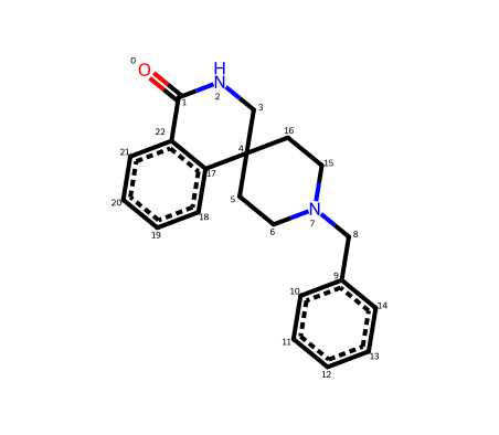 O=C1NCC2(CCN(Cc3ccccc3)CC2)c2ccccc21